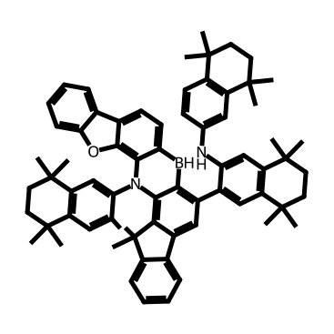 Cc1cc2c(cc1N1c3c(c(-c4cc5c(cc4Nc4ccc6c(c4)C(C)(C)CCC6(C)C)C(C)(C)CCC5(C)C)cc4c3C(C)(C)c3ccccc3-4)Bc3ccc4c(oc5ccccc54)c31)C(C)(C)CCC2(C)C